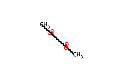 CCCCCCCOC(=O)CCCCCCCCCCCC(=O)OCCCCCCC